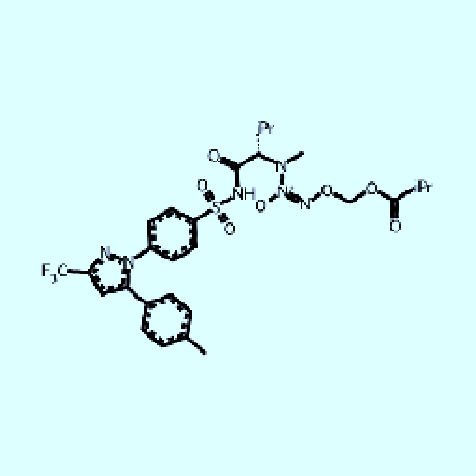 Cc1ccc(-c2cc(C(F)(F)F)nn2-c2ccc(S(=O)(=O)NC(=O)[C@H](C(C)C)N(C)/[N+]([O-])=N\OCOC(=O)C(C)C)cc2)cc1